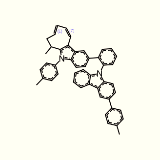 Cc1ccc(-c2ccc3c(c2)c2ccccc2n3-c2ccccc2-c2ccc3c(c2)c2c(n3-c3ccc(C)cc3)C(C)C/C=C/C=C\2)cc1